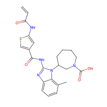 C=CC(=O)Nc1cc(C(=O)Nc2nc3cccc(C)c3n2C2CCCCN(C(=O)O)C2)cs1